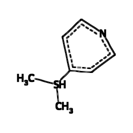 C[SH](C)c1ccncc1